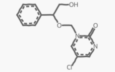 O=c1ncc(Cl)cn1COC(CO)c1ccccc1